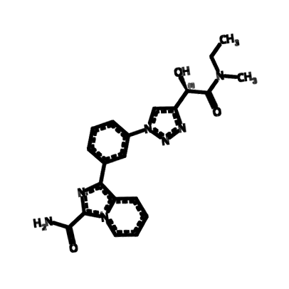 CCN(C)C(=O)[C@H](O)c1cn(-c2cccc(-c3nc(C(N)=O)n4ccccc34)c2)nn1